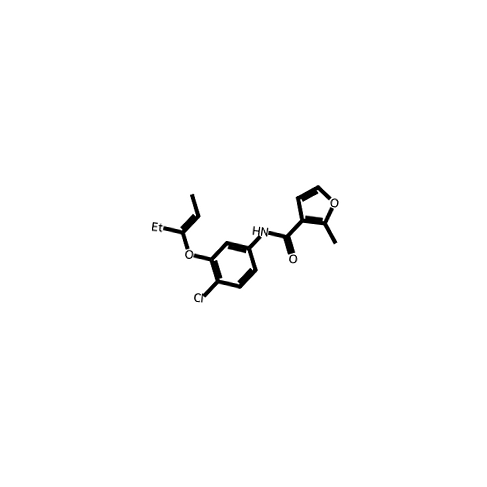 CC=C(CC)Oc1cc(NC(=O)c2ccoc2C)ccc1Cl